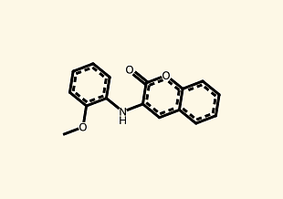 COc1ccccc1Nc1cc2ccccc2oc1=O